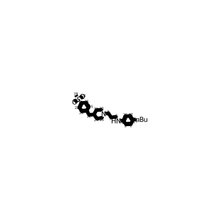 CCCCc1ccc(NCCCN2CCC(Cc3ccc(S(C)(=O)=O)cc3)CC2)cc1